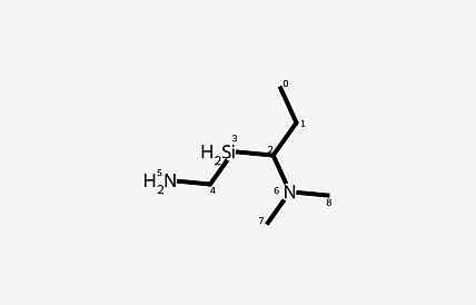 CCC([SiH2]CN)N(C)C